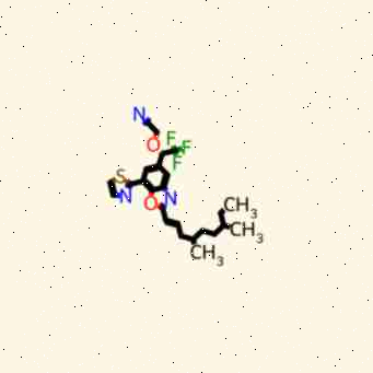 CCC(C)CCC(C)C/C=C/c1nc2cc(C(OCC#N)C(F)(F)F)cc(-c3nccs3)c2o1